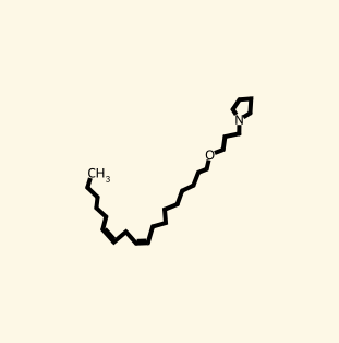 CCCCC/C=C\C/C=C\CCCCCCCCOCCCN1CCCC1